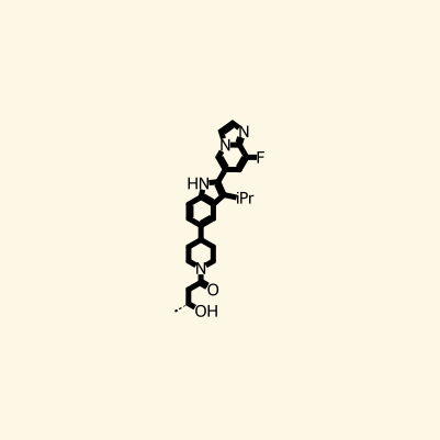 CC(C)c1c(-c2cc(F)c3nccn3c2)[nH]c2ccc(C3CCN(C(=O)C[C@@H](C)O)CC3)cc12